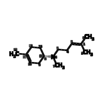 CC(C)=CCCN(C)[C@@H]1CC=C(C)CC1